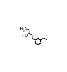 CCc1cccc(CCC(O)CN)c1